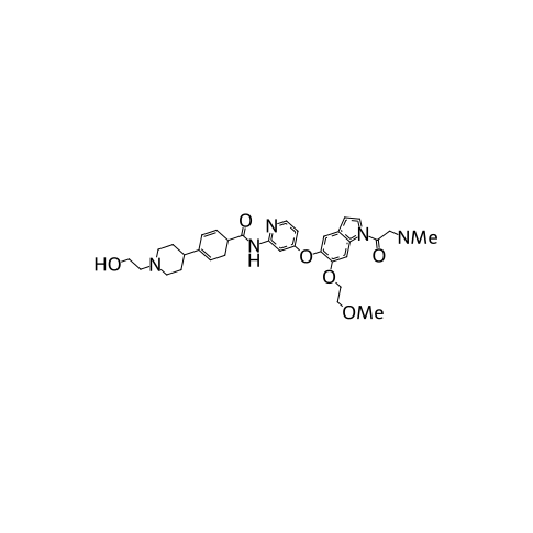 CNCC(=O)n1ccc2cc(Oc3ccnc(NC(=O)C4C=CC(C5CCN(CCO)CC5)=CC4)c3)c(OCCOC)cc21